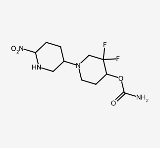 NC(=O)OC1CCN(C2CCC([N+](=O)[O-])NC2)CC1(F)F